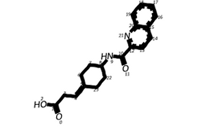 O=C(O)CC=C1CCC(NC(=O)c2ccc3ccccc3n2)CC1